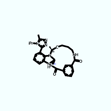 Cc1nnc(-c2cccc3c2N2/C(=N/C(=O)c4cccc(c4)C(=O)NCCCC[C@@H]2C)N3)n1C(C)C